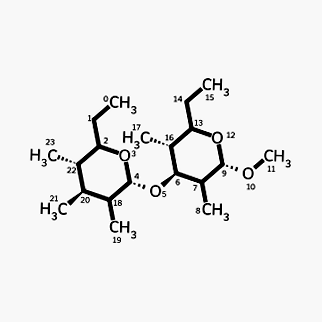 CCC1O[C@H](O[C@@H]2C(C)[C@@H](OC)OC(CC)[C@H]2C)C(C)[C@@H](C)[C@@H]1C